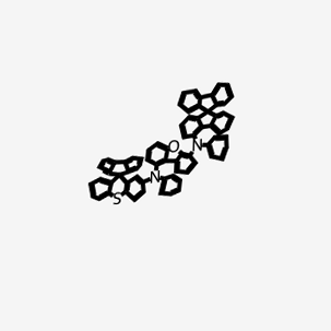 c1ccc(N(c2cccc3c2-c2ccccc2C32c3ccccc3-c3ccccc32)c2cccc3c2oc2cccc(N(c4ccccc4)c4ccc5c(c4)C4(c6ccccc6S5)c5ccccc5-c5ccccc54)c23)cc1